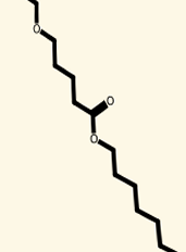 CCCCCCCOC(=O)CCCCOCC